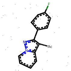 CC(=O)c1c(-c2ccc(F)cc2)nn2ccccc12